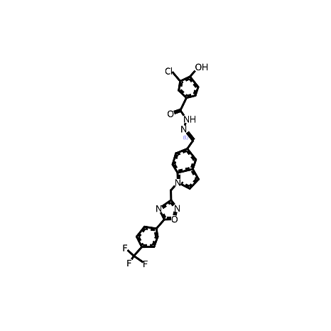 O=C(N/N=C/c1ccc2c(ccn2Cc2noc(-c3ccc(C(F)(F)F)cc3)n2)c1)c1ccc(O)c(Cl)c1